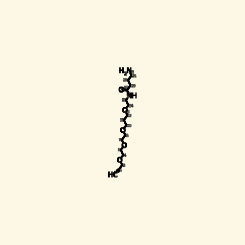 C#CCOCCOCCOCCCOCCNC(=O)CCCN